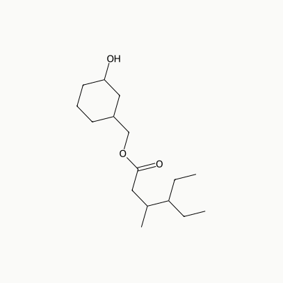 CCC(CC)C(C)CC(=O)OCC1CCCC(O)C1